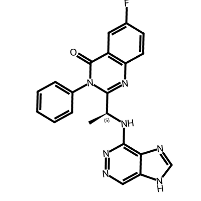 C[C@H](Nc1nncc2[nH]cnc12)c1nc2ccc(F)cc2c(=O)n1-c1ccccc1